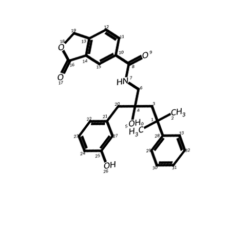 CC(C)(CC(O)(CNC(=O)c1ccc2c(c1)C(=O)OC2)Cc1cccc(O)c1)c1ccccc1